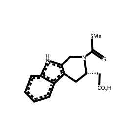 CSC(=S)N1Cc2[nH]c3ccccc3c2C[C@H]1CC(=O)O